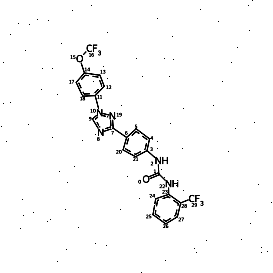 O=C(Nc1ccc(-c2ncn(-c3ccc(OC(F)(F)F)cc3)n2)cc1)Nc1ccccc1C(F)(F)F